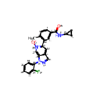 Cc1ccc(C(=O)NC2CC2)cc1-c1cc2cnn(-c3ccccc3F)c2c[n+]1[O-]